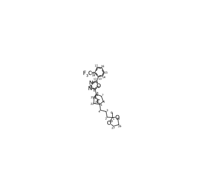 CC1(CCCC23CCC(c4nnc(-c5ccccc5C(F)(F)F)o4)(CC2)CC3)OCCO1